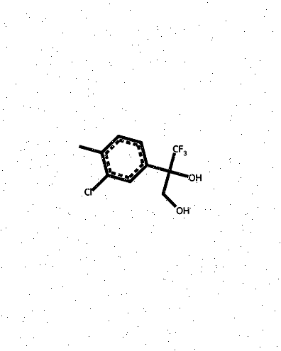 Cc1ccc(C(O)(CO)C(F)(F)F)cc1Cl